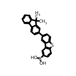 CC1(C)c2ccccc2-c2ccc(-c3ccc4sc5ccc(B(O)O)cc5c4c3)cc21